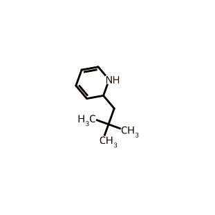 CC(C)(C)CC1C=CC=CN1